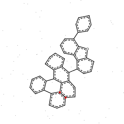 c1ccc(-c2ccccc2-c2c3ccccc3c(-c3cccc4oc5c(-c6ccccc6)cccc5c34)c3ccccc23)cc1